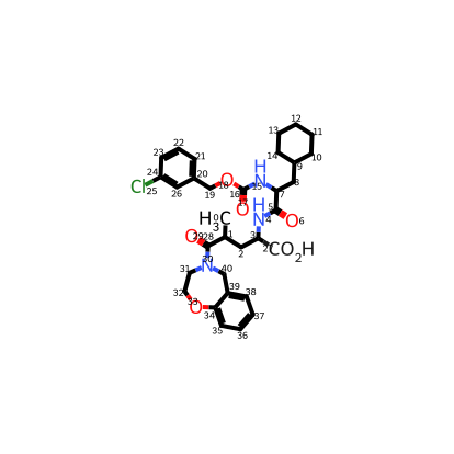 CC(CC(NC(=O)C(CC1CCCCC1)NC(=O)OCc1cccc(Cl)c1)C(=O)O)C(=O)N1CCOc2ccccc2C1